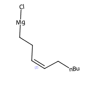 CCCCC/C=C\C[CH2][Mg][Cl]